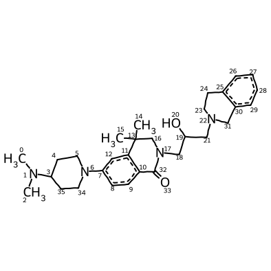 CN(C)C1CCN(c2ccc3c(c2)C(C)(C)CN(CC(O)CN2CCc4ccccc4C2)C3=O)CC1